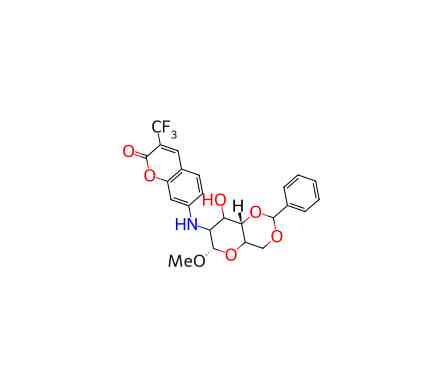 CO[C@H]1OC2COC(c3ccccc3)O[C@H]2C(O)C1Nc1ccc2cc(C(F)(F)F)c(=O)oc2c1